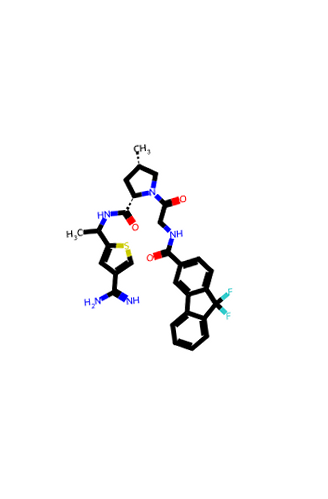 CC(NC(=O)[C@@H]1C[C@H](C)CN1C(=O)CNC(=O)c1ccc2c(c1)-c1ccccc1C2(F)F)c1cc(C(=N)N)cs1